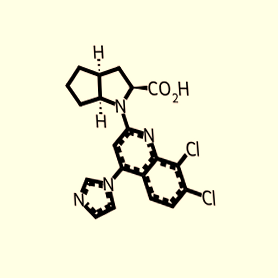 O=C(O)[C@@H]1C[C@@H]2CCC[C@@H]2N1c1cc(-n2ccnc2)c2ccc(Cl)c(Cl)c2n1